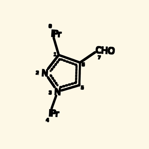 CC(C)c1nn(C(C)C)cc1C=O